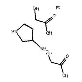 NC1CCNC1.O=C(O)CO.O=C(O)CO.[Pt]